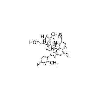 Cc1nc(F)ccc1[C@H](Nc1cc(Cl)c2ncc(C#N)c(NCC(C)(C)C)c2c1)C1=CN(CCCO)NN1